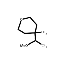 COC(C(F)(F)F)C1(C)CCOCC1